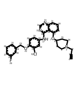 C#CCN1CCC(Oc2cccc3ncnc(Nc4ccc(OCc5cccc(F)c5)c(Cl)c4)c23)CC1